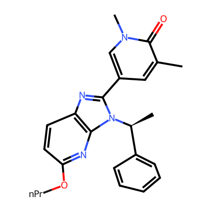 CCCOc1ccc2nc(-c3cc(C)c(=O)n(C)c3)n([C@@H](C)c3ccccc3)c2n1